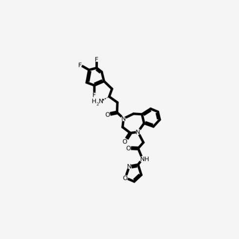 N[C@@H](CC(=O)N1CC(=O)N(CC(=O)Nc2ccon2)c2ccccc2C1)Cc1cc(F)c(F)cc1F